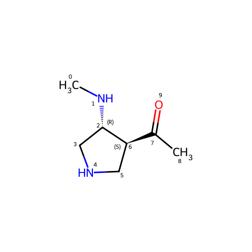 CN[C@H]1CNC[C@@H]1C(C)=O